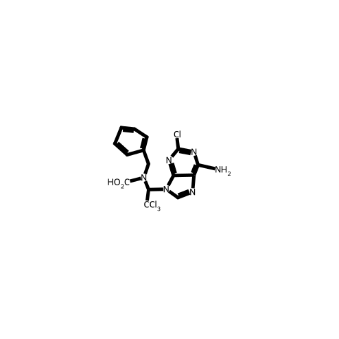 Nc1nc(Cl)nc2c1ncn2C(N(Cc1ccccc1)C(=O)O)C(Cl)(Cl)Cl